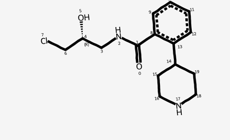 O=C(NC[C@@H](O)CCl)c1ccccc1C1CCNCC1